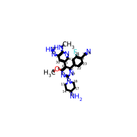 CNc1ncc(-c2c(OC)nc(N3CCC(N)CC3)nc2-c2ccc(C#N)c(F)c2)cc1N=N